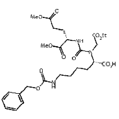 CCOC(=O)CN(C(=O)N[C@@H](CCC(=O)OC)C(=O)OC)[C@@H](CCCCNC(=O)OCc1ccccc1)C(=O)O